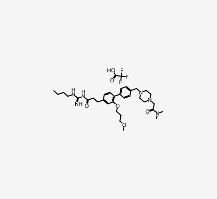 CCCCNC(=N)NC(=O)CCc1ccc(-c2ccc(CN3CCN(CC(=O)N(C)C)CC3)cc2)c(OCCCOC)c1.O=C(O)C(F)(F)F